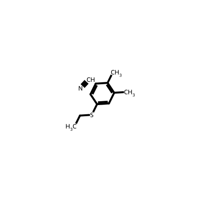 C#N.CCSc1ccc(C)c(C)c1